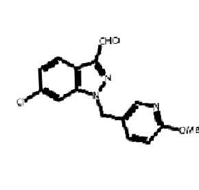 COc1ccc(Cn2nc(C=O)c3ccc(Cl)cc32)cn1